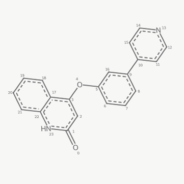 O=c1cc(Oc2cccc(-c3ccncc3)c2)c2ccccc2[nH]1